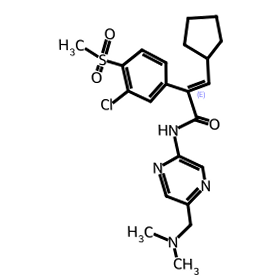 CN(C)Cc1cnc(NC(=O)/C(=C/C2CCCC2)c2ccc(S(C)(=O)=O)c(Cl)c2)cn1